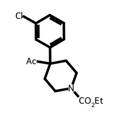 CCOC(=O)N1CCC(C(C)=O)(c2cccc(Cl)c2)CC1